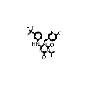 CC(C)n1c(=O)nc(Nc2cccc(C(F)(F)F)c2)n(Cc2ccc(Cl)nc2)c1=O